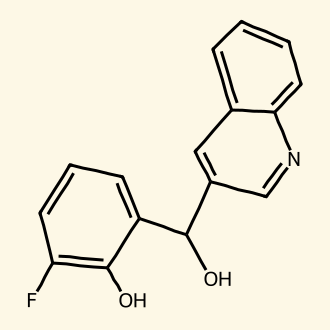 Oc1c(F)cccc1C(O)c1cnc2ccccc2c1